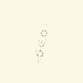 Cc1nc(-c2cnn(C(C)c3ccc(OC(F)F)cc3C)c2)cc(=O)[nH]1